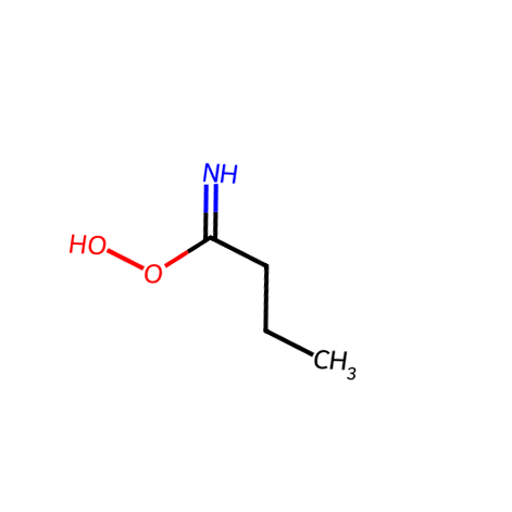 CCCC(=N)OO